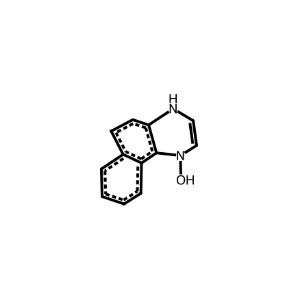 ON1C=CNc2ccc3ccccc3c21